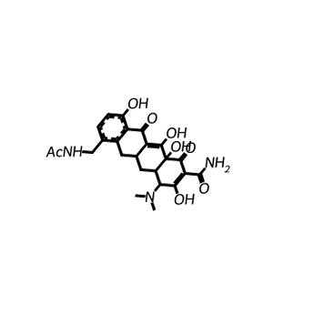 CC(=O)NCc1ccc(O)c2c1CC1CC3C(N(C)C)C(O)=C(C(N)=O)C(=O)C3(O)C(O)=C1C2=O